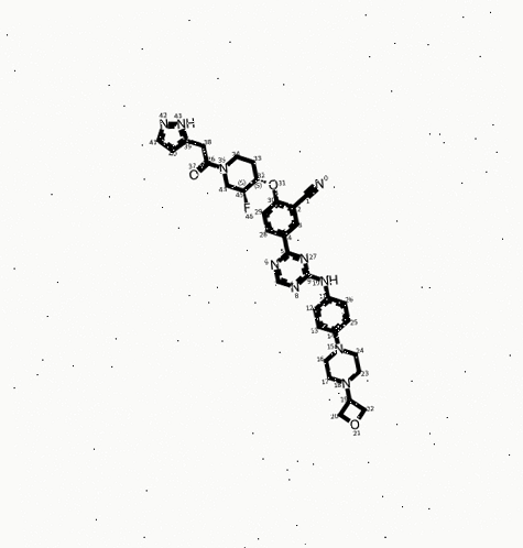 N#Cc1cc(-c2ncnc(Nc3ccc(N4CCN(C5COC5)CC4)cc3)n2)ccc1O[C@H]1CCN(C(=O)Cc2ccn[nH]2)C[C@@H]1F